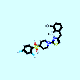 Cc1cccc(Cc2csc(N3CCC(S(=O)(=O)c4ccc(F)cc4F)CC3)n2)c1C